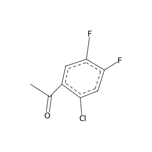 CC(=O)c1cc(F)c(F)cc1Cl